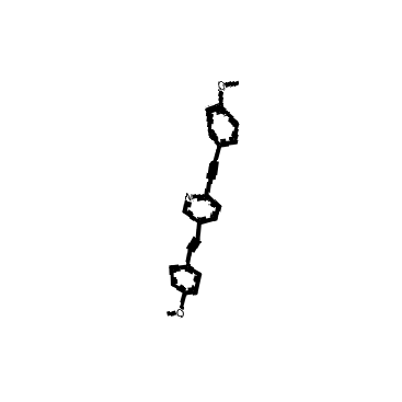 COc1ccc(C#Cc2ccc(C#Cc3ccc(OC)cc3)nc2)cc1